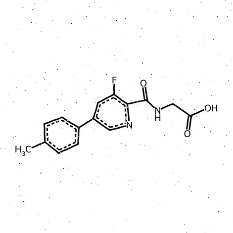 Cc1ccc(-c2cnc(C(=O)NCC(=O)O)c(F)c2)cc1